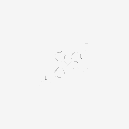 CCC(C)CC(c1ccccc1)(c1ccc(OC)cc1)c1ccc(OC(C)=O)cc1